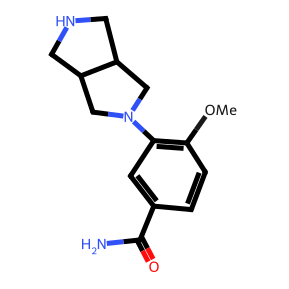 COc1ccc(C(N)=O)cc1N1CC2CNCC2C1